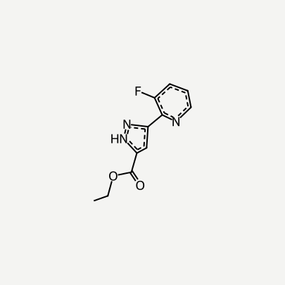 CCOC(=O)c1cc(-c2ncccc2F)n[nH]1